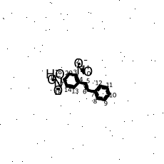 O=[N+]([O-])C1=C(C=Cc2ccccc2)C=CC(O)([N+](=O)[O-])C1